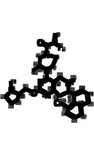 C=C(F)C(=O)N1CCN(c2nc(OCC3CCCN3C)nc3c2CN(C)C(c2cccc4cccc(Cl)c24)C3)[C@@H](C)C1